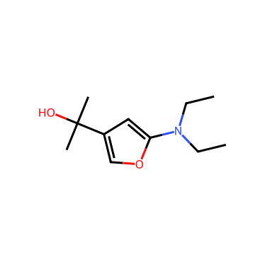 CCN(CC)c1cc(C(C)(C)O)co1